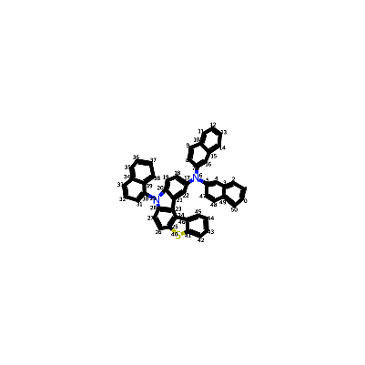 c1ccc2cc(N(c3ccc4ccccc4c3)c3ccc4c(c3)c3c5c(ccc3n4-c3cccc4ccccc34)sc3ccccc35)ccc2c1